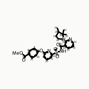 COC(=O)c1ccc(Oc2cccc(S(=O)(=O)NC(=O)c3cccnc3N3CCC(C)C3(C)C)n2)cc1